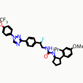 COc1ccc(C2CCC/C2=N\C(=O)NCC(F)c2ccc(-c3ncn(-c4ccc(OC(F)(F)F)cc4)n3)cc2)c(C(C)C)c1